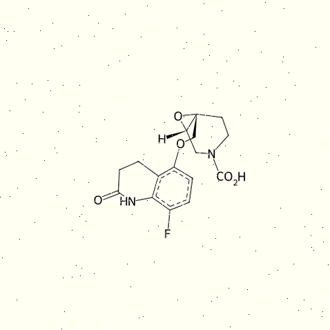 O=C1CCc2c(OC[C@@]34CCN(C(=O)O)C[C@@H]3O4)ccc(F)c2N1